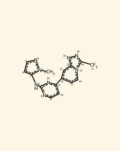 Cn1nccc1Nc1nccc(-c2ccn3c(C(F)(F)F)nnc3c2)n1